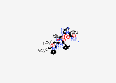 CCCC[C@H](NC(=O)[C@H](CC(C)C)NC(=O)[C@@H](NC(=O)[C@H](Cc1ccccc1C)NC(=O)[C@H](CCC(=O)O)NC(=O)CN(C(=O)CCC(=O)O)c1ccccc1)C(C)(C)C)C(=O)C(N)=O